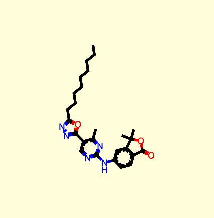 CCCCCCCCCc1nnc(-c2cnc(Nc3ccc4c(c3)C(C)(C)OC4=O)nc2C)o1